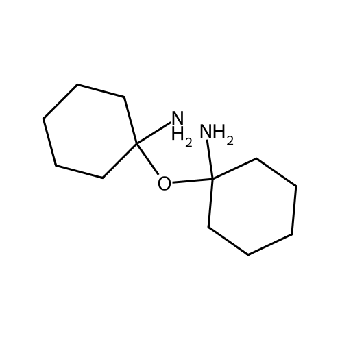 NC1(OC2(N)CCCCC2)CCCCC1